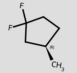 C[C@@H]1CCC(F)(F)C1